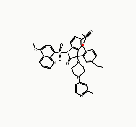 CCOc1ccc(CC)cc1C1(N2CCN(c3ccnc(C)c3)CC2)C(=O)N(S(=O)(=O)c2ccc(OC)c3cccnc23)c2ccc(C#N)cc21